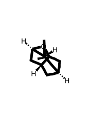 C[C@@H]1[C@@H]2C[C@@H]3C[C@H]1O[C@]3(C)C2